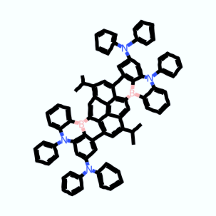 CC(C)c1cc2c3c(cc4c(C(C)C)cc5c6c(cc1c3c46)B1c3ccccc3N(c3ccccc3)c3cc(N(c4ccccc4)c4ccccc4)cc-5c31)B1c3ccccc3N(c3ccccc3)c3cc(N(c4ccccc4)c4ccccc4)cc-2c31